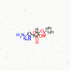 CCCC(CCC)C(=O)OC1[C@H]2O[C@@](C)(c3ccc4c(N)ncnn34)[C@H](O)[C@@]12O